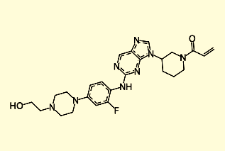 C=CC(=O)N1CCCC(n2cnc3cnc(Nc4ccc(N5CCN(CCO)CC5)cc4F)nc32)C1